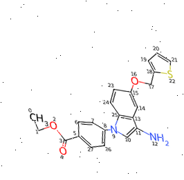 CCOC(=O)c1ccc(-n2cc(N)c3cc(OCc4cccs4)ccc32)cc1